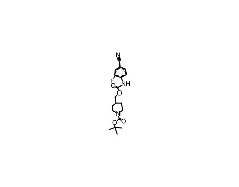 CC(C)(C)OC(=O)N1CCC(COC(=O)Nc2ccc(C#N)cc2F)CC1